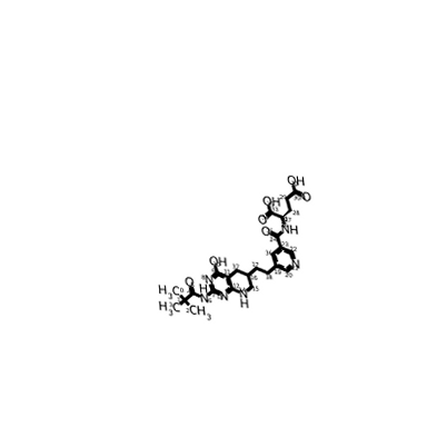 CC(C)(C)C(=O)Nc1nc(O)c2c(n1)NCC(CCc1cncc(C(=O)N[C@H](CCC(=O)O)C(=O)O)c1)C2